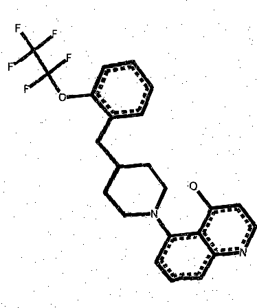 [O]c1ccnc2cccc(N3CCC(Cc4ccccc4OC(F)(F)C(F)(F)F)CC3)c12